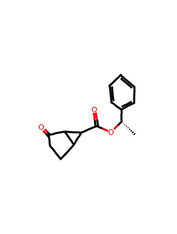 C[C@H](OC(=O)C1C2CCC(=O)C21)c1ccccc1